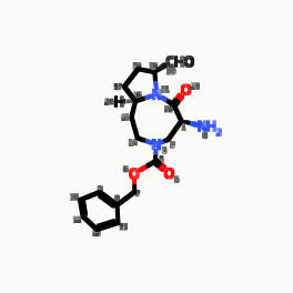 N[C@H]1CN(C(=O)OCc2ccccc2)CC[C@H]2CC[C@@H](C=O)N2C1=O